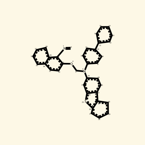 C=Nc1c(OCN(c2ccc(-c3ccccc3)cc2)c2ccc3c(c2)sc2ccccc23)ccc2ccccc12